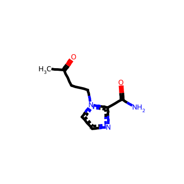 CC(=O)CCn1c[c]nc1C(N)=O